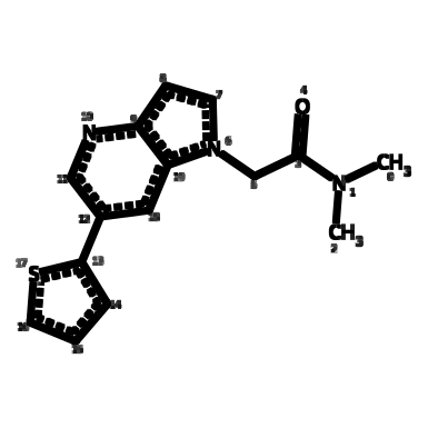 CN(C)C(=O)Cn1ccc2ncc(-c3cccs3)cc21